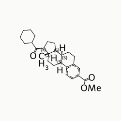 COC(=O)c1ccc2c(c1)CC[C@@H]1[C@@H]2CC[C@]2(C)[C@@H](C(=O)C3CCCCC3)CC[C@@H]12